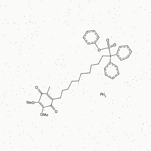 COC1=C(OC)C(=O)C(CCCCCCCCCCC(c2ccccc2)(c2ccccc2)S(=O)(=O)Oc2ccccc2)=C(C)C1=O.P